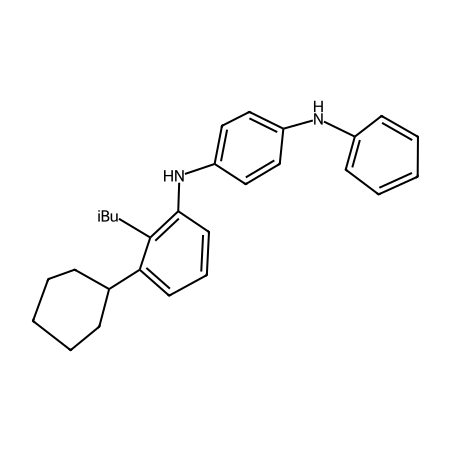 CCC(C)c1c(Nc2ccc(Nc3ccccc3)cc2)cccc1C1CCCCC1